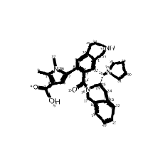 Cc1c(C(=O)O)cc(-c2cc3c(cc2C(=O)N2Cc4ccccc4C[C@H]2CN2CCCC2)CNCC3)n1C